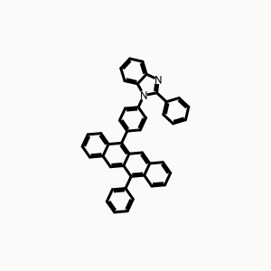 c1ccc(-c2c3ccccc3cc3c(-c4ccc(-n5c(-c6ccccc6)nc6ccccc65)cc4)c4ccccc4cc23)cc1